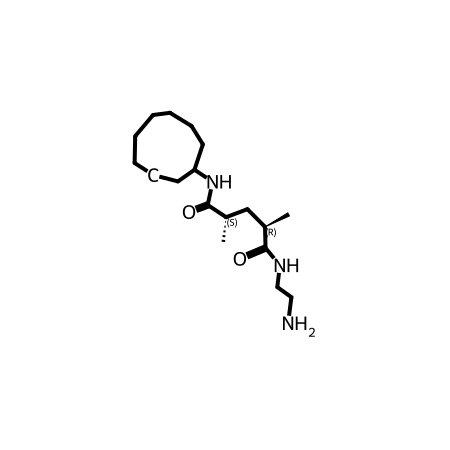 C[C@H](C[C@H](C)C(=O)NC1CCCCCCCC1)C(=O)NCCN